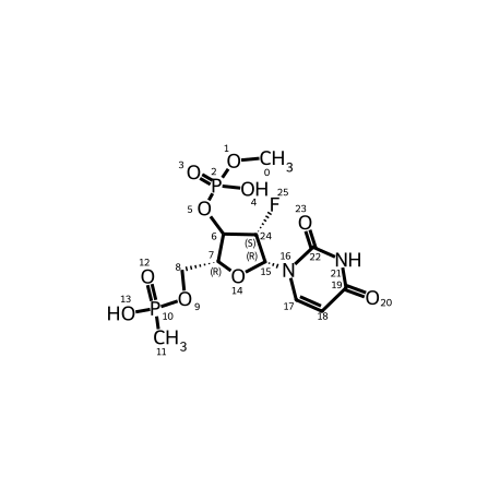 COP(=O)(O)OC1[C@@H](COP(C)(=O)O)O[C@@H](n2ccc(=O)[nH]c2=O)[C@H]1F